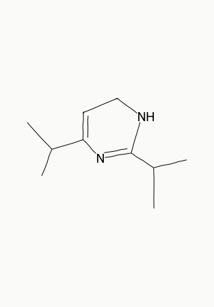 CC(C)C1=CCNC(C(C)C)=N1